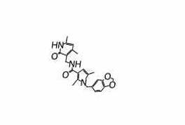 Cc1cc(C)c(CNC(=O)c2cc(C)n(Cc3ccc4c(c3)OCO4)c2C)c(=O)[nH]1